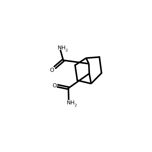 NC(=O)C1C2CCC(CC2)C1C(N)=O